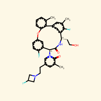 Cc1cc2cc(c1F)[C@H](CCO)NC(=O)[C@@H](n1cc(CCN3CC(F)C3)cc(C)c1=O)c1cc(ccc1F)Oc1cccc(C)c1-2